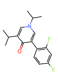 CC(C)c1cn(C(C)C)cc(-c2ccc(F)cc2F)c1=O